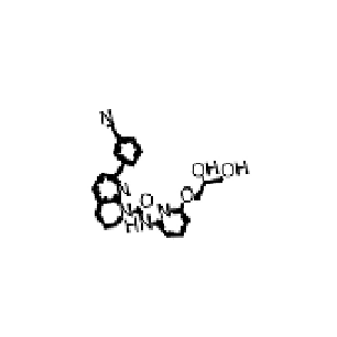 N#Cc1cccc(-c2ccc3c(n2)N(C(=O)Nc2cccc(OC[C@H](O)CO)n2)CCC3)c1